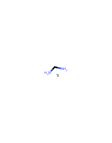 N[CH]N.[Ti]